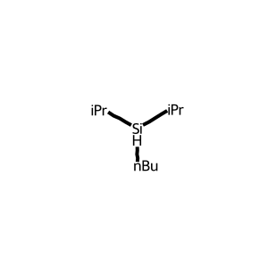 [CH2]C(C)[SiH](CCCC)C([CH2])C